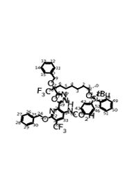 C[C@@H](CCCCC[C@@](OCc1ccccc1)(c1nnc(-c2nc(OCc3ccccc3)c(C(F)(F)F)cc2NC(=O)O)o1)C(F)(F)F)O[Si](c1ccccc1)(c1ccccc1)C(C)(C)C